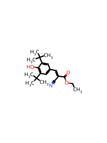 CCOC(=O)/C(C#N)=C/c1cc(C(C)(C)C)c(O)c(C(C)(C)C)c1